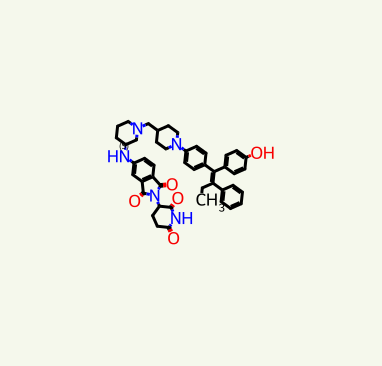 CCC(=C(c1ccc(O)cc1)c1ccc(N2CCC(CN3CCC[C@H](Nc4ccc5c(c4)C(=O)N(C4CCC(=O)NC4=O)C5=O)C3)CC2)cc1)c1ccccc1